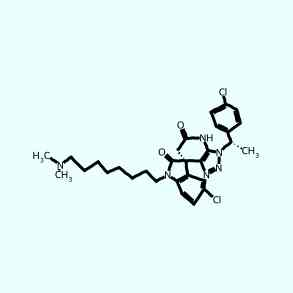 C[C@@H](c1ccc(Cl)cc1)n1nnc2c1NC(=O)C[C@]21C(=O)N(CCCCCCCCN(C)C)c2ccc(Cl)cc21